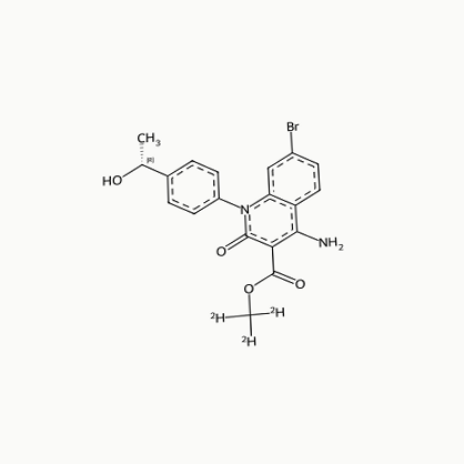 [2H]C([2H])([2H])OC(=O)c1c(N)c2ccc(Br)cc2n(-c2ccc([C@@H](C)O)cc2)c1=O